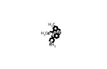 COCC(OCC1(c2ccc(F)cc2)CCN(C)CC1)c1cc(C)cc2cn[nH]c12